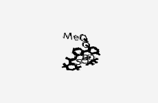 COCOc1ccc(C)cc1-c1cccc(-c2sc3c(c2C)C(C)(C)CCC3(C)C)c1B1OC(C)(C)C(C)(C)O1